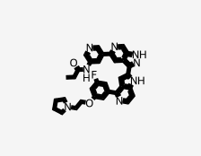 CCC(=O)Nc1cncc(-c2cc3c(-c4cc5c(-c6cc(F)cc(OCCN7CCCC7)c6)nccc5[nH]4)n[nH]c3cn2)c1